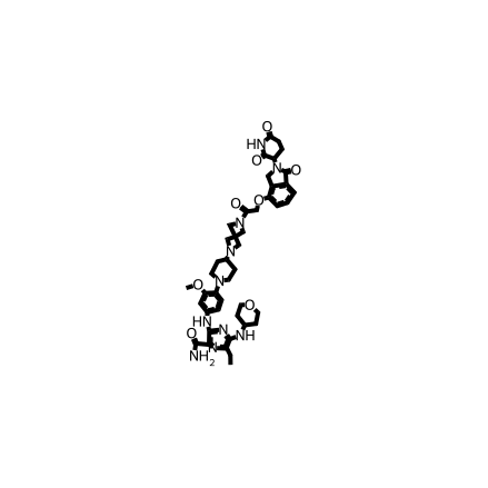 CCc1nc(C(N)=O)c(Nc2ccc(N3CCC(N4CC5(CN(C(=O)COc6cccc7c6CN(C6CCC(=O)NC6=O)C7=O)C5)C4)CC3)c(OC)c2)nc1NC1CCOCC1